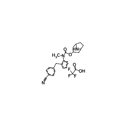 CN(C(=O)OC1CC2CCC(C1)N2)c1sccc1Cc1ccc(C#N)cc1.O=C(O)C(F)(F)F